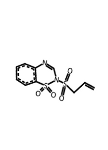 C=CCS(=O)(=O)N1C=Nc2ccccc2S1(=O)=O